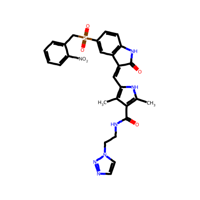 Cc1[nH]c(/C=C2\C(=O)Nc3ccc(S(=O)(=O)Cc4ccccc4[N+](=O)[O-])cc32)c(C)c1C(=O)NCCn1ccnn1